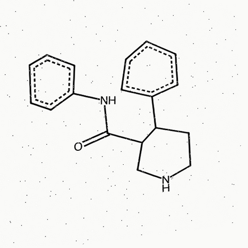 O=C(Nc1ccccc1)C1CNCCC1c1ccccc1